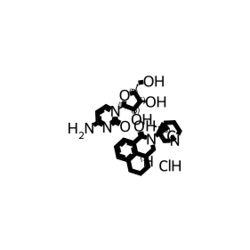 Cl.Nc1ccn([C@@H]2O[C@H](CO)[C@@H](O)[C@@H]2O)c(=O)n1.O=C1c2cccc3c2[C@H](CCC3)CN1[C@@H]1CN2CCC1CC2